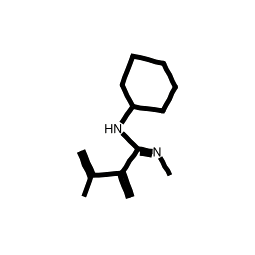 C=C(C)C(=C)/C(=N\C)NC1CCCCC1